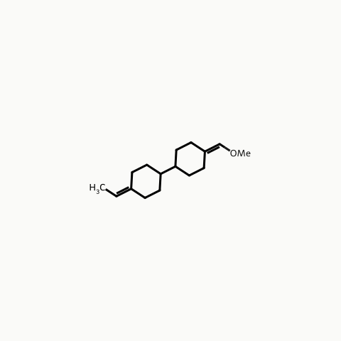 CC=C1CCC(C2CCC(=COC)CC2)CC1